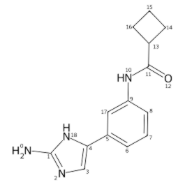 Nc1ncc(-c2cccc(NC(=O)C3CCC3)c2)[nH]1